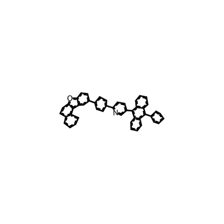 c1ccc(-c2c3ccccc3c(-c3ccc(-c4ccc(-c5ccc6oc7ccc8ccccc8c7c6c5)cc4)nc3)c3ccccc23)cc1